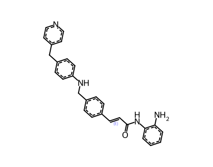 Nc1ccccc1NC(=O)/C=C/c1ccc(CNc2ccc(Cc3ccncc3)cc2)cc1